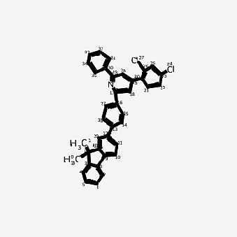 CC1(C)c2ccccc2-c2ccc(-c3ccc(-c4cc(-c5ccc(Cl)cc5Cl)cc(-c5ccccc5)n4)cc3)cc21